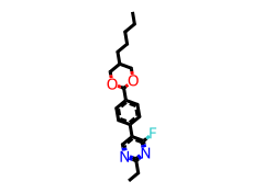 CCCCCC1COC(c2ccc(-c3cnc(CC)nc3F)cc2)OC1